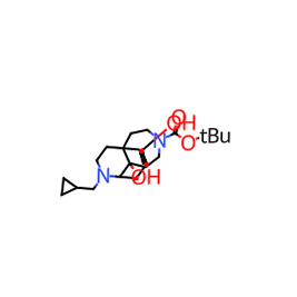 CC(C)(C)OC(=O)N1CCC23CCN(CC4CC4)C(Cc4ccc(O)cc42)C3(O)CC1